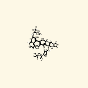 CC(C)(C)OC(=O)N1CC(CN2C(=O)C(CN3CCCC3)Oc3cc(-c4cc(OC(=O)C(C)(C)C)cc5ccccc45)c(Cl)cc32)C1